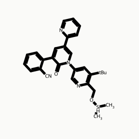 C[SiH](C)OCc1ncc(-n2cc(-c3ccccn3)cc(-c3ccccc3C#N)c2=O)cc1C(C)(C)C